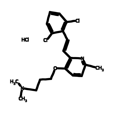 Cc1ccc(OCCCN(C)C)c(C=Cc2c(Cl)cccc2Cl)n1.Cl